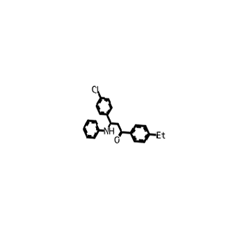 CCc1ccc(C(=O)CC(Nc2ccccc2)c2ccc(Cl)cc2)cc1